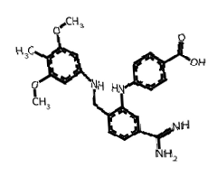 COc1cc(NCc2ccc(C(=N)N)cc2Nc2ccc(C(=O)O)cc2)cc(OC)c1C